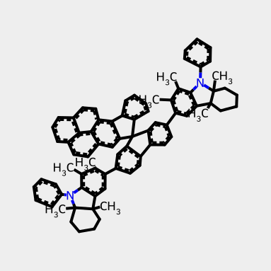 Cc1c(-c2ccc3c(c2)C2(c4cc(-c5cc6c(c(C)c5C)N(c5ccccc5)C5(C)CCCCC65C)ccc4-3)c3ccccc3-c3c2cc2ccc4cccc5ccc3c2c45)cc2c(c1C)N(c1ccccc1)C1(C)CCCCC21C